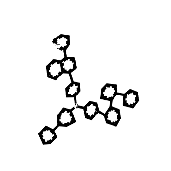 c1ccc(-c2ccc(N(c3ccc(-c4ccccc4-c4ccccc4-c4ccccc4)cc3)c3ccc(-c4ccc(-c5ccccc5)c5ccccc45)cc3)cc2)cc1